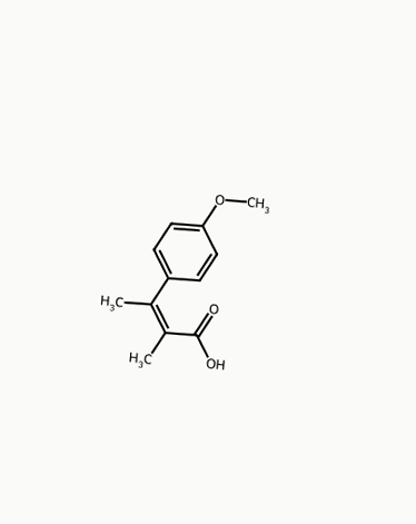 COc1ccc(C(C)=C(C)C(=O)O)cc1